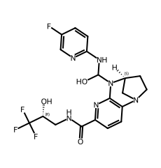 O=C(NC[C@@H](O)C(F)(F)F)c1ccc2c(n1)N(C(O)Nc1ccc(F)cn1)[C@H]1CCN2C1